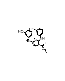 CCOC(=O)c1cnc(Nc2cccc(O)c2)nc1Nc1cccc(O)c1